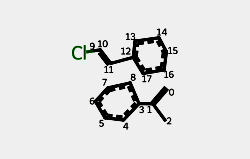 C=C(C)c1ccccc1.ClC=Cc1ccccc1